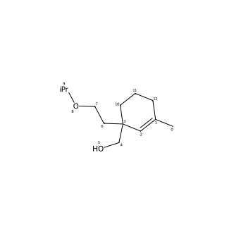 CC1=CC(CO)(CCOC(C)C)CCC1